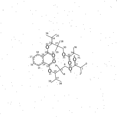 CC(C)C(=O)OCC(C)(C)C(OC(=O)c1ccccc1C(=O)OC(C(C)C)C(C)(C)COC(=O)C(C)C)C(C)C